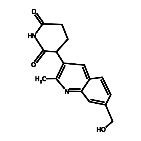 Cc1nc2cc(CO)ccc2cc1C1CCC(=O)NC1=O